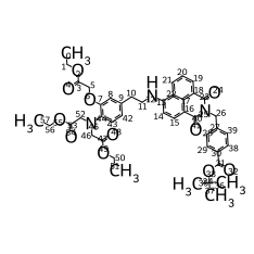 CCOC(=O)COc1cc(CCNc2ccc3c4c(cccc24)C(=O)N(Cc2ccc(C(=O)OC(C)(C)C)cc2)C3=O)ccc1N(CC(=O)OCC)CC(=O)OCC